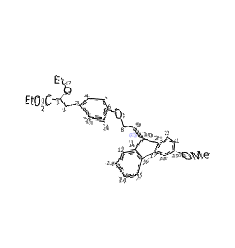 CCOC(=O)C(Cc1ccc(OC/C=C2\c3ccccc3-c3cc(OC)ccc32)cc1)OCC